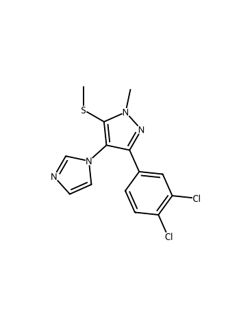 CSc1c(-n2ccnc2)c(-c2ccc(Cl)c(Cl)c2)nn1C